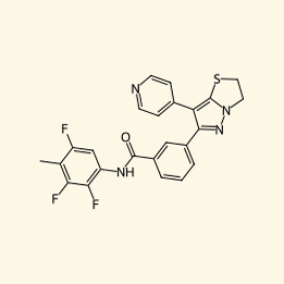 Cc1c(F)cc(NC(=O)c2cccc(-c3nn4c(c3-c3ccncc3)SCC4)c2)c(F)c1F